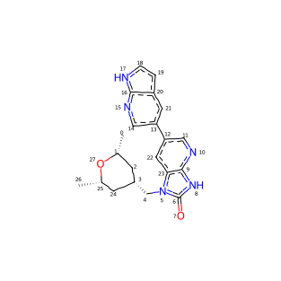 C[C@@H]1C[C@H](Cn2c(=O)[nH]c3ncc(-c4cnc5[nH]ccc5c4)cc32)C[C@H](C)O1